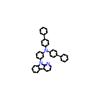 c1ccc(-c2ccc(N(c3ccc(-c4ccccc4)cc3)c3cccc(-n4c5ccccc5c5cccnc54)c3)cc2)cc1